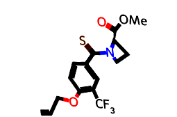 C=CCOc1ccc(C(=S)N2CC[C@@H]2C(=O)OC)cc1C(F)(F)F